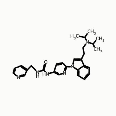 CC(C)N(CCc1cn(-c2ccc(NC(=O)NCc3cccnc3)cn2)c2ccccc12)C(C)C